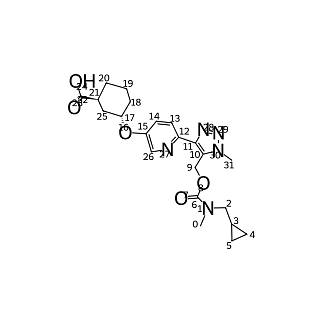 CN(CC1CC1)C(=O)OCc1c(-c2ccc(O[C@H]3CCC[C@H](C(=O)O)C3)cn2)nnn1C